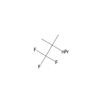 C[CH]CC(C)(C)C(F)(F)F